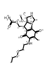 CCSSCCNC1=C(C)C(=O)C2=C(C1=O)[C@@H](COC(N)=O)[C@@]1(OC)[C@H](C)NCN21